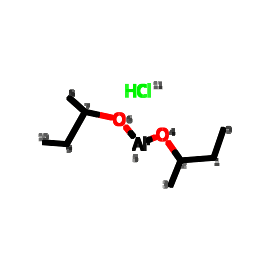 CCC(C)[O][Al][O]C(C)CC.Cl